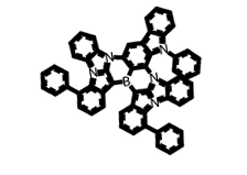 c1ccc(-c2cccc3c4c5n(c6ccccc6n5c23)-c2cc3c5ccccc5n(-c5ccccc5)c3c3c2B4c2c4cccc(-c5ccccc5)c4n4c5ccccc5n-3c24)cc1